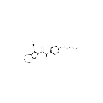 CCCCOc1ccc(C(=O)Nc2sc3c(c2C#N)CCCC3)cc1